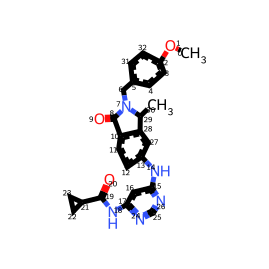 COc1ccc(CN2C(=O)c3ccc(Nc4cc(NC(=O)C5CC5)ncn4)cc3C2C)cc1